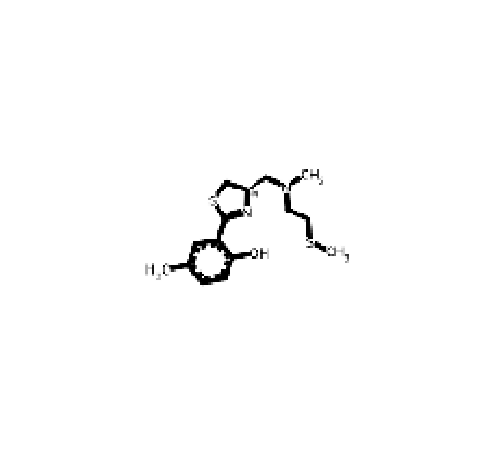 CSCCN(C)C[C@@H]1CSC(c2cc(C)ccc2O)=N1